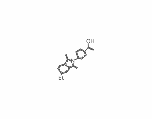 C=C(O)c1ccc(-n2c(=C)c3ccc(CC)cc3c2=C)cc1